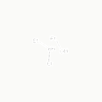 CC(C)O.CCBCC